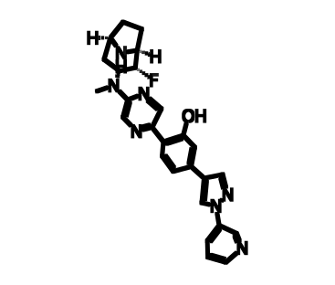 CN(c1cnc(-c2ccc(-c3cnn(-c4cccnc4)c3)cc2O)cn1)[C@@H]1C[C@H]2CC[C@H](N2)[C@@H]1F